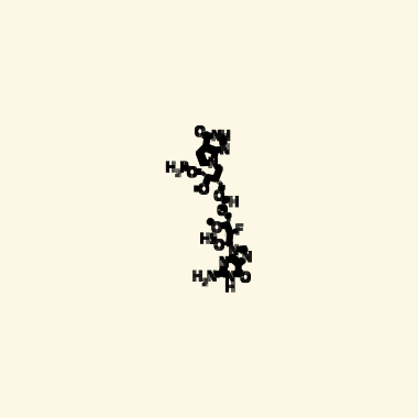 CO[C@H](COP)[C@@H](COPOC[C@@H](OC)[C@@H](F)[C@@H](OS)n1cnc2c(=O)[nH]c(N)nc21)Cn1ccc2c(=O)[nH]cnc21